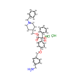 Cl.Cl.NCc1ccc(COc2ccc(C(O)(C(=O)OCC3CCN(Cc4ccccc4)CC3)c3ccccc3)cc2)cc1